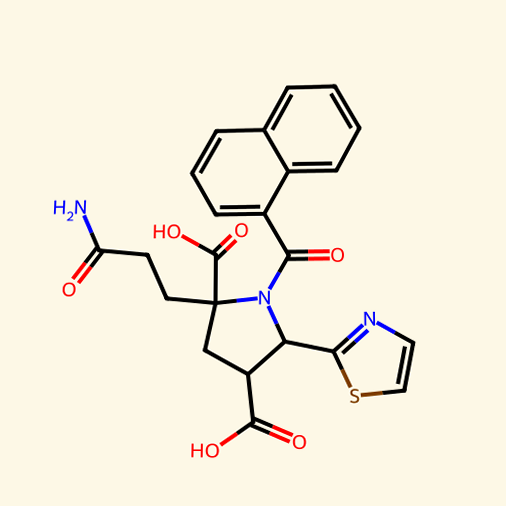 NC(=O)CCC1(C(=O)O)CC(C(=O)O)C(c2nccs2)N1C(=O)c1cccc2ccccc12